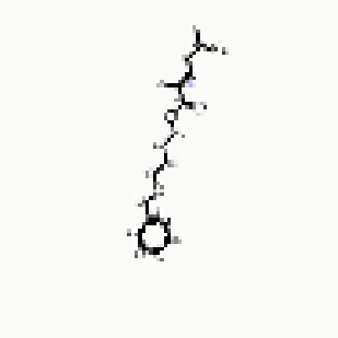 C/C(=C\CC(C)F)C(=O)OCCCCOCc1ccccc1